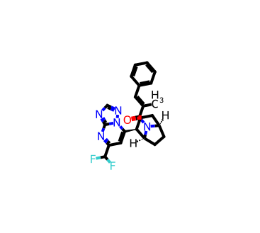 C/C(=C\c1ccccc1)C(=O)N1[C@H]2CC[C@H](c3cc(C(F)F)nc4ncnn34)[C@@H]1CC2